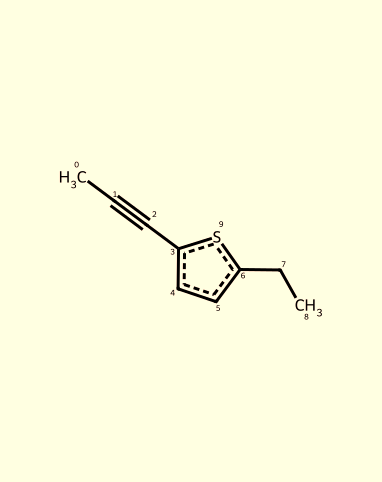 CC#Cc1ccc(CC)s1